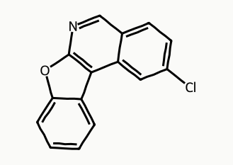 Clc1ccc2cnc3oc4ccccc4c3c2c1